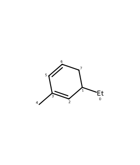 CCC1C=C(C)C=CC1